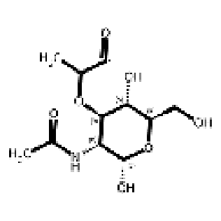 CC(=O)N[C@@H]1[C@@H](OC(C)[C]=O)[C@H](O)[C@@H](CO)O[C@@H]1O